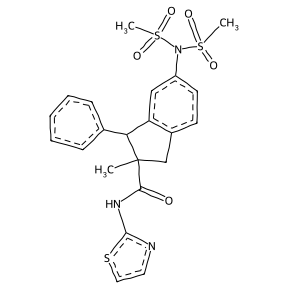 CC1(C(=O)Nc2nccs2)Cc2ccc(N(S(C)(=O)=O)S(C)(=O)=O)cc2C1c1ccccc1